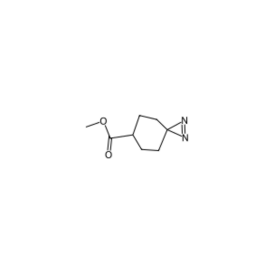 COC(=O)C1CCC2(CC1)N=N2